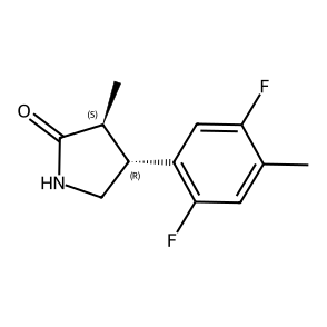 Cc1cc(F)c([C@@H]2CNC(=O)[C@H]2C)cc1F